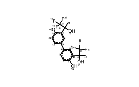 CC(O)(c1cc(-c2ccc(O)c(C(C)(O)C(F)(F)F)c2)ccc1O)C(F)(F)F